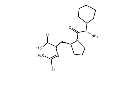 CC(=O)/C(C)=N/N(C[C@@H]1CCCN1C(=O)[C@@H](N)C1CCCCC1)C(C)Cl